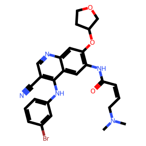 CN(C)C/C=C\C(=O)Nc1cc2c(Nc3cccc(Br)c3)c(C#N)cnc2cc1OC1CCOC1